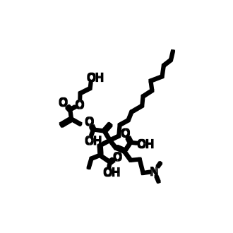 C=C(C(=O)O)C(C=C(CC)C(=O)O)(C=C(CCCN(C)C)C(=O)O)CCCCCCCCCCCC.C=C(C)C(=O)OCCO